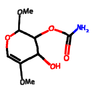 COC1=COC(OC)C(OC(N)=O)C1O